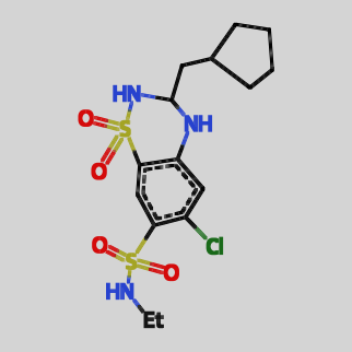 CCNS(=O)(=O)c1cc2c(cc1Cl)NC(CC1CCCC1)NS2(=O)=O